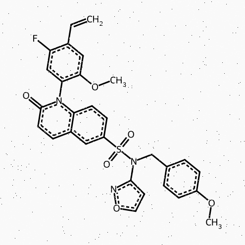 C=Cc1cc(OC)c(-n2c(=O)ccc3cc(S(=O)(=O)N(Cc4ccc(OC)cc4)c4ccon4)ccc32)cc1F